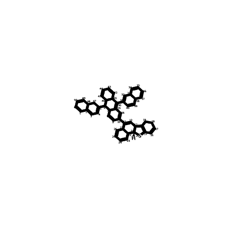 C1=CC2=CC=C(C3C4C=CC(C5=CC6C7=C(C=CCC7)S[C@@H]6C6C=CC=CC56)=CC4=C(C4=CC5C=CC=CC5C=C4)C4C=CC=CC43)CC2C=C1